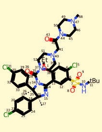 CCOc1cc(Cl)c(S(=O)(=O)NC(C)(C)C)cc1C1=N[C@@](C)(c2ccc(Cl)cc2)[C@@](C)(c2ccc(Cl)cc2)N1C(=O)N1CCN(CC(=O)N2CCN(C)CC2)CC1